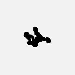 C=C1C2C(CCc3ccccc3-c3cccc[n+]31)c1cc3c(cc1-c1cccc[n+]12)c1cc(-c2ccccc2)cc2c4ccc5c6ccccc6sc5c4n3c12